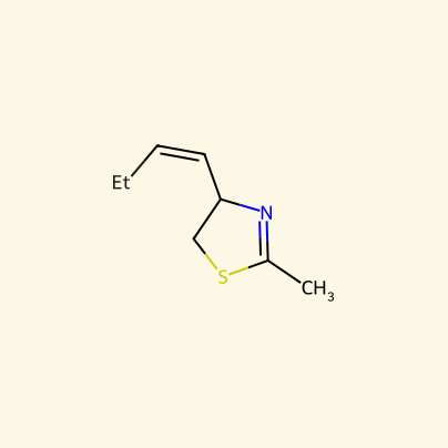 CC/C=C\C1CSC(C)=N1